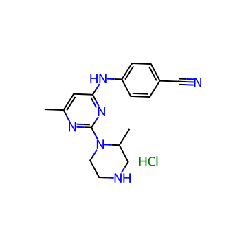 Cc1cc(Nc2ccc(C#N)cc2)nc(N2CCNCC2C)n1.Cl